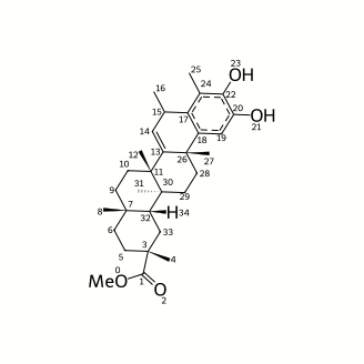 COC(=O)[C@]1(C)CC[C@]2(C)CC[C@]3(C)C4=CC(C)c5c(cc(O)c(O)c5C)[C@]4(C)CC[C@@]3(C)[C@@H]2C1